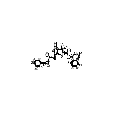 CN(C)CC(OC(=O)N1Cc2c(NC(=O)C3CC3c3ccccc3)n[nH]c2C1(C)C)c1ccccc1